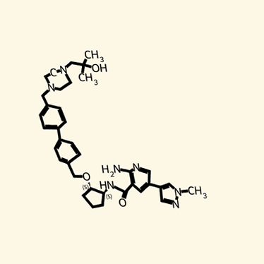 Cn1cc(-c2cnc(N)c(C(=O)N[C@H]3CCC[C@@H]3OCc3ccc(-c4ccc(CN5CCN(CC(C)(C)O)CC5)cc4)cc3)c2)cn1